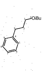 CC(C)COCCCc1ccccc1